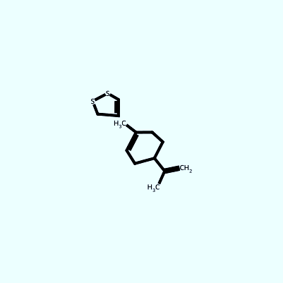 C1=CSSC1.C=C(C)C1CC=C(C)CC1